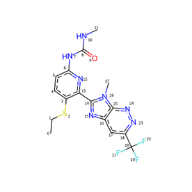 CCSc1ccc(NC(=O)NC)nc1-c1nc2cc(C(F)(F)F)nnc2n1C